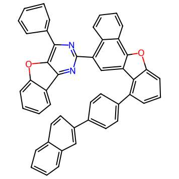 c1ccc(-c2nc(-c3cc4c(oc5cccc(-c6ccc(-c7ccc8ccccc8c7)cc6)c54)c4ccccc34)nc3c2oc2ccccc23)cc1